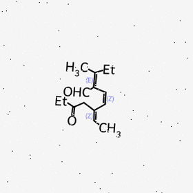 C\C=C(/C=C\C(C=O)=C(\C)CC)CC(=O)CC